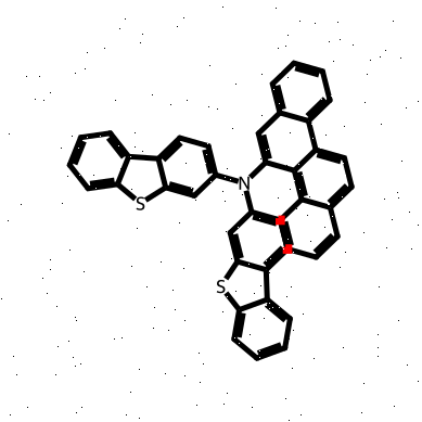 c1ccc2c(c1)cc(N(c1ccc3c(c1)sc1ccccc13)c1ccc3c(c1)sc1ccccc13)c1c3ccccc3ccc21